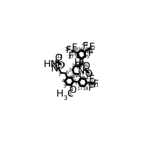 COc1ccc(CCc2n[nH]c(=O)o2)cc1-c1ccc(C(F)(F)F)cc1[C@@H]1CCC[C@H]2[C@@H](c3cc(C(F)(F)F)cc(C(F)(F)F)c3)OC(=O)N12